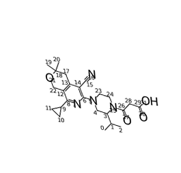 CC(C)C1CN(c2nc(C3CC3)c3c(c2C#N)CC(C)(C)OC3)CCN1C(=O)CC(=O)O